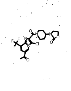 CC(=O)c1cc(C(F)(F)F)c2nc(C(=O)N3CCC(N4CCOC4=O)CC3)c(Cl)n2c1